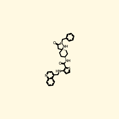 O=C(N[C@H]1CC[C@]2(CC1)CC(=O)N(Cc1ccccc1)N2)c1sccc1NCc1ccnc2ccccc12